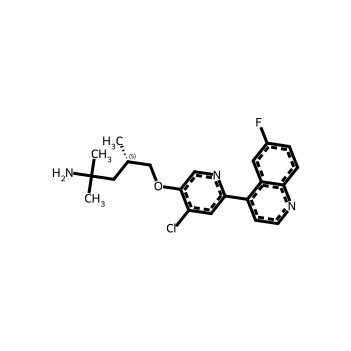 C[C@H](COc1cnc(-c2ccnc3ccc(F)cc23)cc1Cl)CC(C)(C)N